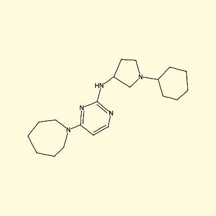 c1cc(N2CCCCCC2)nc(NC2CCN(C3CCCCC3)C2)n1